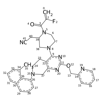 C=C(F)C(=O)N1CCN(c2nc(OCc3ccccn3)nc3c2CCN(c2cccc4cccc(C)c24)C3)CC1CC#N